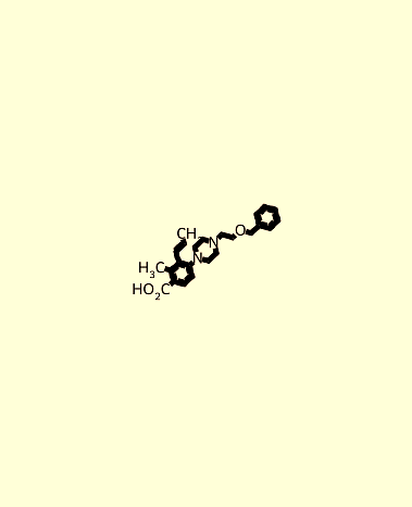 CC=Cc1c(N2CCN(CCOCc3ccccc3)CC2)ccc(C(=O)O)c1C